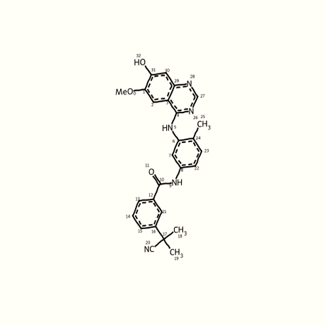 COc1cc2c(Nc3cc(NC(=O)c4cccc(C(C)(C)C#N)c4)ccc3C)ncnc2cc1O